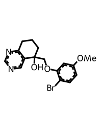 COc1ccc(Br)c(OCC2(O)CCCc3ncncc32)c1